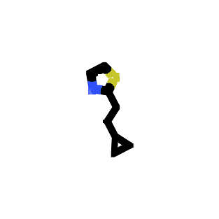 [CH](Cc1nccs1)C1CC1